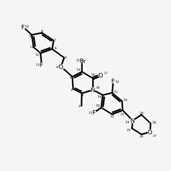 Cc1cc(OCc2ccc(F)cc2F)c(Br)c(=O)n1-c1c(F)cc(N2CCOCC2)cc1F